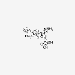 Cc1nnc(SCC2=C(C(=O)O)N3C(=O)[C@@H](NC(=O)/C(=N\OCc4cc(=O)c(O)cn4O)c4csc(N)n4)[C@H]3SC2)s1